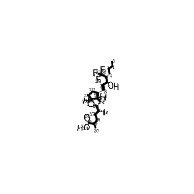 CCCC[C@H]([C@H](O)/C=C/[C@H]1CC[C@@H]2O[C@@H]([C@H](I)CCC(C)C(=O)O)C[C@@H]21)C(F)(F)F